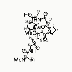 CC[C@H](C)[C@@H]([C@@H](CC(=O)N1CCC[C@H]1[C@H](OC)[C@@H](C)C(=O)N[C@H](C)[C@@H](O)c1ccccc1)OC)N(C)C(=O)CNC(=O)[C@@H](NC)C(C)C